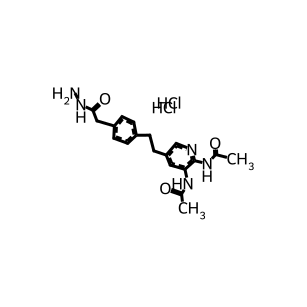 CC(=O)Nc1cc(CCc2ccc(CC(=O)NN)cc2)cnc1NC(C)=O.Cl.Cl